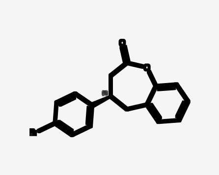 O=C1C[C@H](c2ccc(Br)cc2)Cc2ccccc2O1